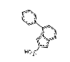 O=C(O)c1cc2cccc(-c3ccccc3)n2c1